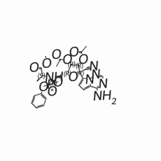 COC(=O)[C@H](C)N[P@](=O)(OC[C@H]1O[C@@](C#N)(c2ccc3c(N)ncnn23)[C@H](OC(C)=O)[C@@H]1OC(C)=O)Oc1ccccc1